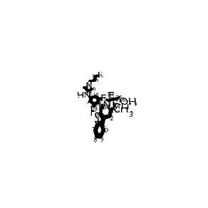 C[C@H]1Cc2c(sc3ccccc23)[C@H](c2c(F)cc(NC3CN(CCCF)C3)cc2F)N1CC(F)(F)CO